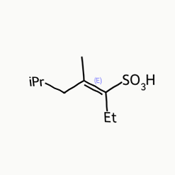 CC/C(=C(/C)CC(C)C)S(=O)(=O)O